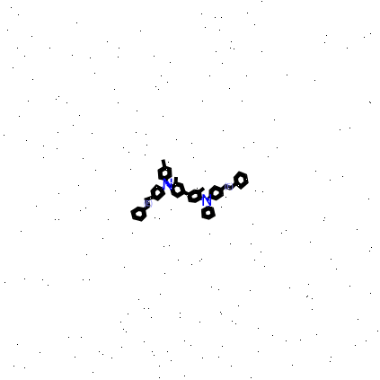 Cc1ccc(N(c2ccc(/C=C/c3ccccc3)cc2)c2ccc(-c3ccc(N(c4ccccc4)c4ccc(/C=C/c5ccccc5)cc4)c(C)c3)cc2C)cc1